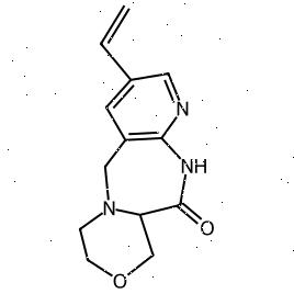 C=Cc1cnc2c(c1)CN1CCOCC1C(=O)N2